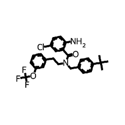 CC(C)(C)c1ccc(CN(CCc2cccc(OC(F)(F)F)c2)C(=O)c2cc(Cl)ccc2N)cc1